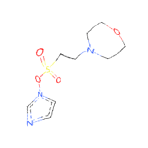 O=S(=O)(CCN1CCOCC1)On1ccnc1